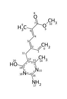 C=C/C(=C\C=C(/C)C(=O)OC)Cc1c(C)nc(N)nc1O